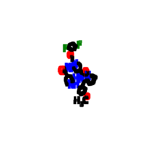 COc1cccc(C(NC(=O)C2CCN(CCOc3cc(F)ccc3F)CC2)c2ccccn2)c1.NC(=O)C1CCNCC1